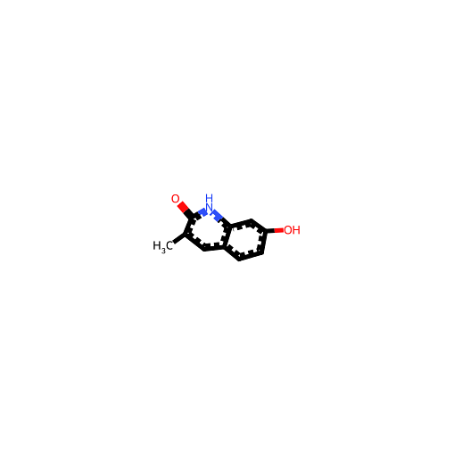 Cc1cc2ccc(O)cc2[nH]c1=O